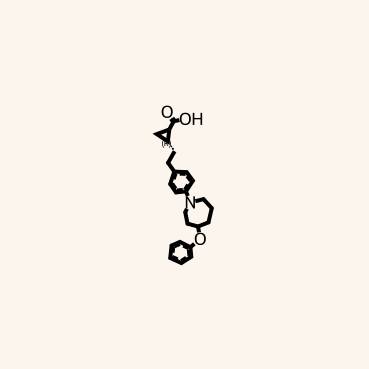 O=C(O)C1C[C@H]1CCc1ccc(N2CCCC(Oc3ccccc3)CC2)cc1